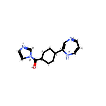 O=C(C1CCC(C2=CN=CC=CN2)CC1)n1ccnc1